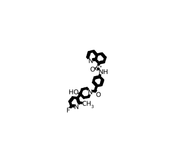 Cc1nc(F)ccc1C1(O)CCN(C(=O)c2ccc(N[S+]([O-])c3cccc4cccnc34)cc2)CC1